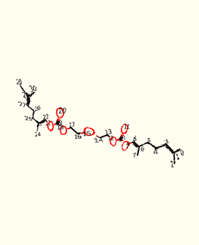 CC(C)=CCC/C(C)=C/OC(=O)OCCOCCOC(=O)O/C=C(\C)CCC=C(C)C